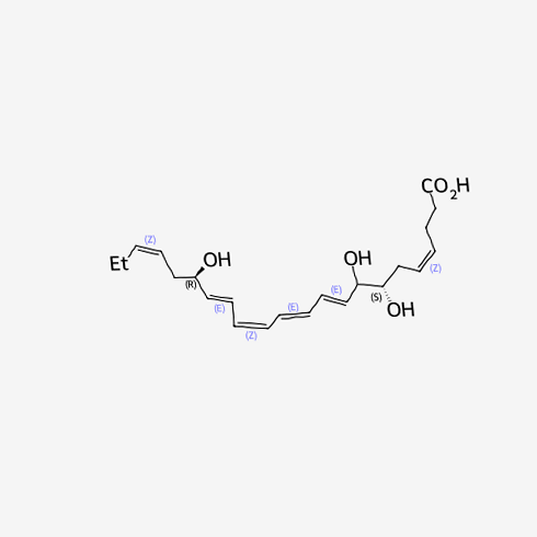 CC/C=C\C[C@@H](O)/C=C/C=C\C=C\C=C\C(O)[C@@H](O)C/C=C\CCC(=O)O